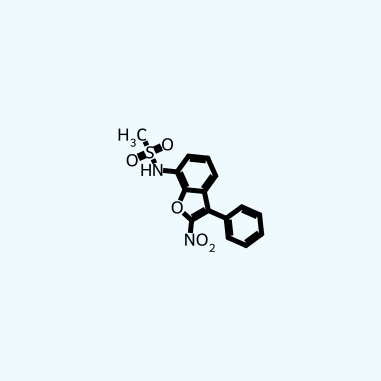 CS(=O)(=O)Nc1cccc2c(-c3ccccc3)c([N+](=O)[O-])oc12